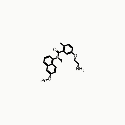 Cc1ccc(OCCN)cc1C(=O)N(I)c1cccc2cc(OC(C)C)ccc12